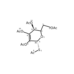 CC(=O)OCC1O[C@H](SC(C)=O)C(OC(C)=O)=C(OC(C)=O)[C@H]1OC(C)=O